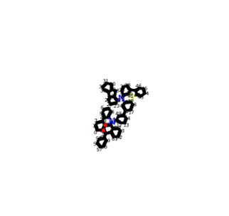 c1ccc(-c2ccccc2N(c2cccc(-c3cccc(N(c4cccc5c4Cc4ccccc4-5)c4cccc5c4sc4ccccc45)c3)c2)c2ccc(-c3ccccc3)c3ccccc23)cc1